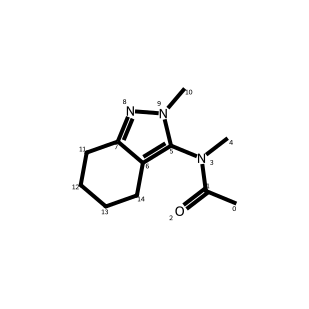 CC(=O)N(C)c1c2c(nn1C)CCCC2